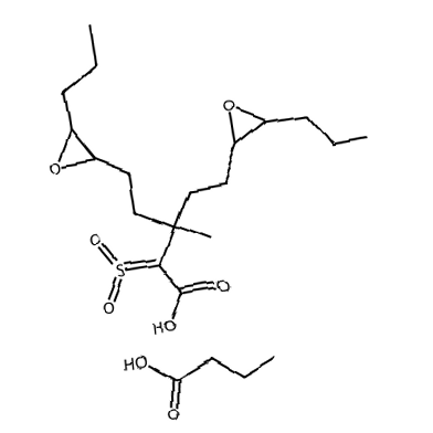 CCCC(=O)O.CCCC1OC1CCC(C)(CCC1OC1CCC)C(C(=O)O)=S(=O)=O